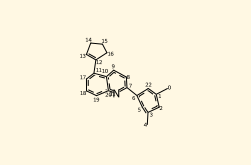 Cc1cc(C)cc(-c2ccc3c(C4=CCCC4)cccc3n2)c1